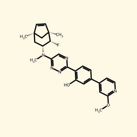 COc1cc(-c2ccc(-c3ncc(N(C)[C@@H]4C[C@@]5(C)C=C[C@](C)(C5)[C@@H]4F)nn3)c(O)c2)ccn1